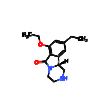 CCOc1cc(CC)cc2c1C(=O)N1CCNC[C@@H]21